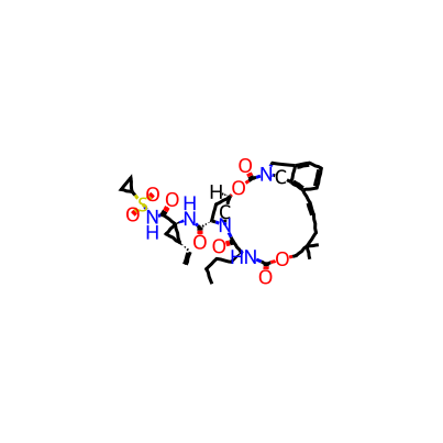 C=C[C@@H]1C[C@]1(NC(=O)[C@@H]1C[C@@H]2CN1C(=O)[C@H](CCCC)NC(=O)OCC(C)(C)C/C=C/c1cccc3c1CN(C3)C(=O)O2)C(=O)NS(=O)(=O)C1CC1